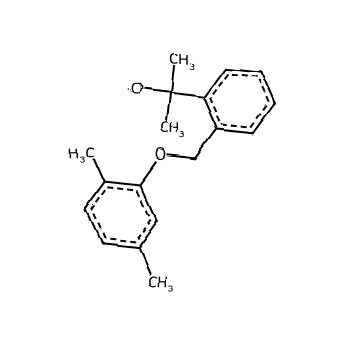 Cc1ccc(C)c(OCc2ccccc2C(C)(C)[O])c1